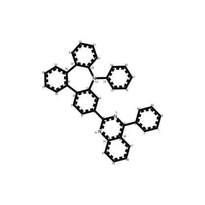 c1ccc(-c2nc(-c3ccc4c(c3)N(c3ccccc3)c3ccccc3-c3ccccc3-4)nc3ccccc23)cc1